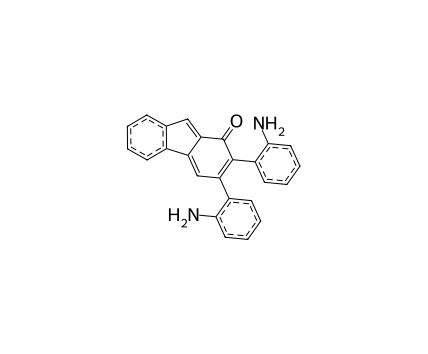 Nc1ccccc1C1=C(c2ccccc2N)C(=O)C2=Cc3ccccc3C2=C1